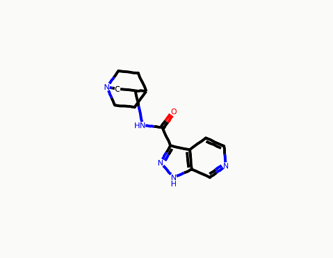 O=C(NC1CN2CCC1CC2)c1n[nH]c2cnccc12